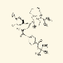 CN(C)C(=O)C1([N+]2(CCC(CN(C)C(=O)C3CCN(C(=O)OC(C)(C)C)CC3)c3ccc(Cl)c(Cl)c3)CCCCC2)CCNCC1